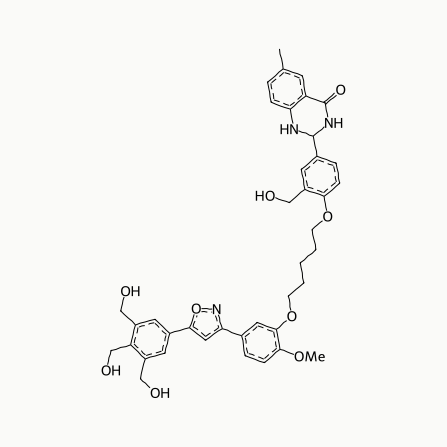 COc1ccc(-c2cc(-c3cc(CO)c(CO)c(CO)c3)on2)cc1OCCCCCOc1ccc(C2NC(=O)c3cc(C)ccc3N2)cc1CO